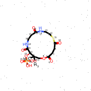 CC1(C)COC(=O)CCC(=O)SCCNC(=O)CCNC(=O)[C@@H]1OP(=O)(O)O